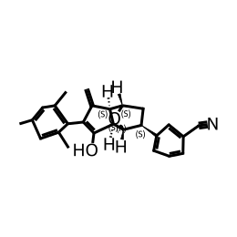 C=C1C(c2c(C)cc(C)cc2C)=C(O)[C@@H]2[C@@H]3O[C@@H](C[C@H]3c3cccc(C#N)c3)[C@H]12